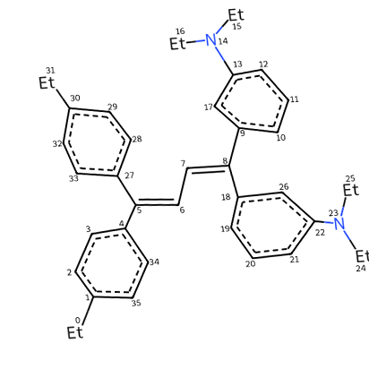 CCc1ccc(C(=CC=C(c2cccc(N(CC)CC)c2)c2cccc(N(CC)CC)c2)c2ccc(CC)cc2)cc1